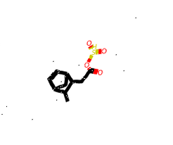 CC1C2C=CC(C2)C1CC(=O)O[SH](=O)=O